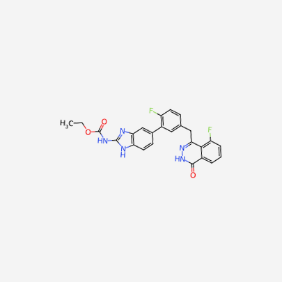 CCOC(=O)Nc1nc2cc(-c3cc(Cc4n[nH]c(=O)c5cccc(F)c45)ccc3F)ccc2[nH]1